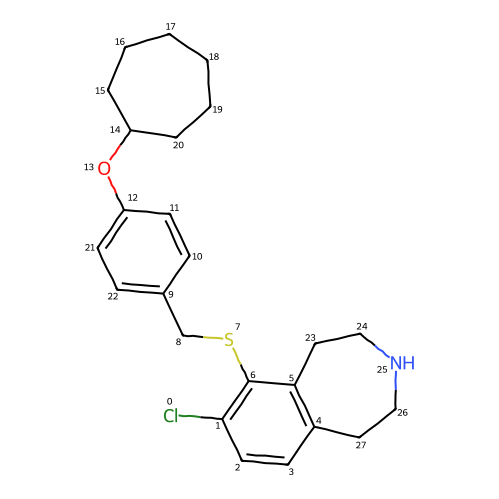 Clc1ccc2c(c1SCc1ccc(OC3CCCCCC3)cc1)CCNCC2